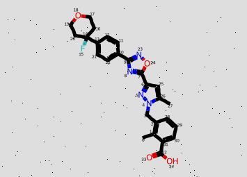 Cc1c(Cn2nc(-c3nc(-c4ccc(C5(F)CCOCC5)cc4)no3)cc2C)cccc1C(=O)O